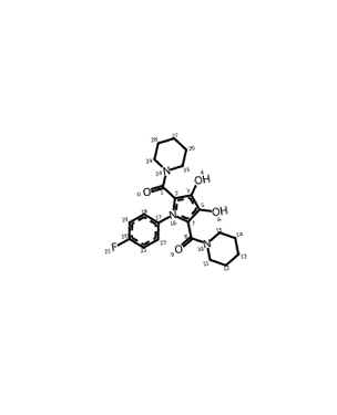 O=C(c1c(O)c(O)c(C(=O)N2CCCCC2)n1-c1ccc(F)cc1)N1CCCCC1